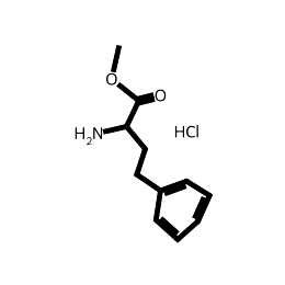 COC(=O)C(N)CCc1ccccc1.Cl